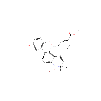 COC(=O)C1=C[C@@H]([C@@H]2Oc3ccc(O)cc3-c3ccc4c(c32)C(C)=CC(C)(C)N4OC)CCC1